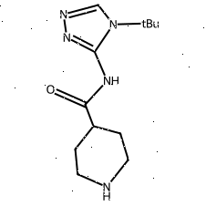 CC(C)(C)n1cnnc1NC(=O)C1CCNCC1